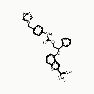 N=C(N)c1cc2c(OC(COC(=O)Nc3ccc(Cn4cnnc4)cc3)c3ccccc3)cccc2s1